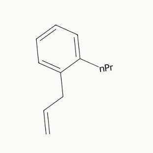 C=CCc1ccccc1CCC